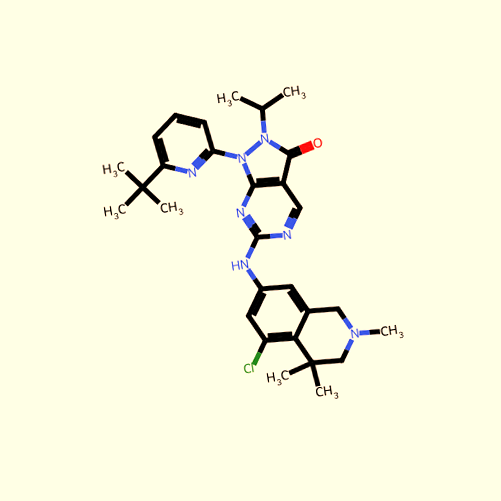 CC(C)n1c(=O)c2cnc(Nc3cc(Cl)c4c(c3)CN(C)CC4(C)C)nc2n1-c1cccc(C(C)(C)C)n1